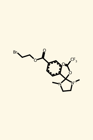 CN1CC[N+](C)C1(OC(=O)C(F)(F)F)c1ccc(C(=O)OCCBr)cc1